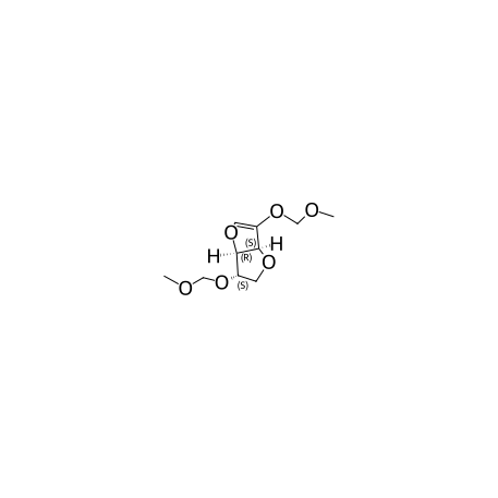 COCOC1=CO[C@@H]2[C@@H](OCOC)CO[C@H]12